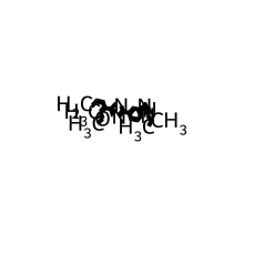 C=C/C=C\C(=C(/C)OC)c1cnc(-c2ccc3c(c2)nnn3C(C)C)nc1